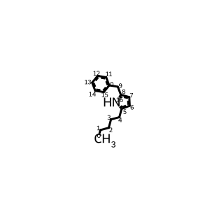 CCCCCc1ccc(Cc2ccccc2)[nH]1